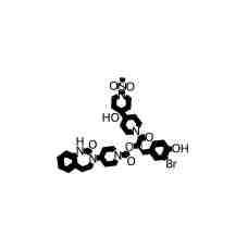 CS(=O)(=O)N1CCC(O)(C2CCN(C(=O)[C@@H](Cc3ccc(O)c(Br)c3)OC(=O)N3CCC(N4CCc5ccccc5NC4=O)CC3)CC2)CC1